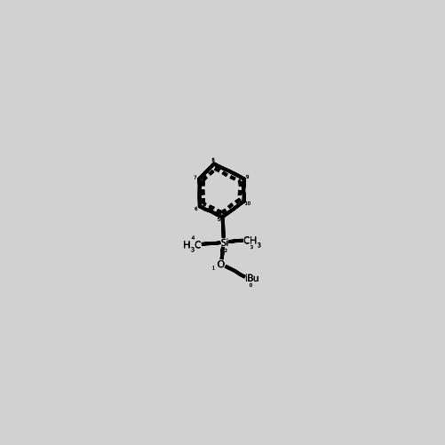 CCC(C)O[Si](C)(C)c1ccccc1